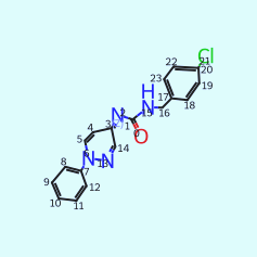 O=C(/N=c1/ccn(-c2ccccc2)nc1)NCc1ccc(Cl)cc1